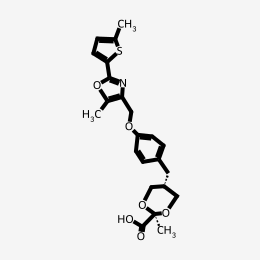 Cc1ccc(-c2nc(COc3ccc(C[C@H]4CO[C@](C)(C(=O)O)OC4)cc3)c(C)o2)s1